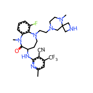 Cc1cc(C(F)(F)F)c(C#N)c(NC2CCN(CCN3CCN(C)C4(CNC4)C3)c3c(F)cccc3N(C)C2=O)n1